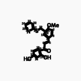 COc1ccc(/C=C/C(=O)c2ccc(O)cc2O)cc1CSc1ccccn1